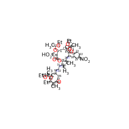 CCOC(C)OC1CCC(C)(OC(C)OCC)C(Oc2ccc([N+](=O)[O-])cc2)/C=C/C(C)C(/C(C)=C/C=C/C(C)CC2OC2C(C)C(CC)OC(C)OCC)OC(=O)C1C(=O)O